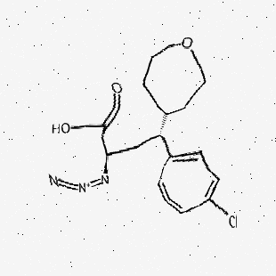 [N-]=[N+]=N[C@@H](C(=O)O)[C@@H](c1ccc(Cl)cc1)C1CCOCC1